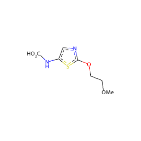 COCCOc1ncc(NC(=O)O)s1